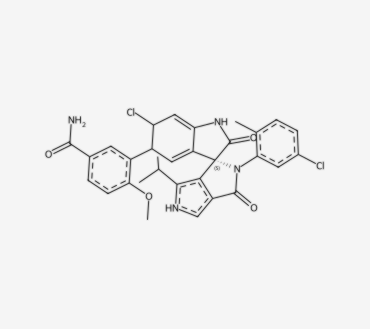 COc1ccc(C(N)=O)cc1C1C=C2C(=CC1Cl)NC(=O)[C@@]21c2c(c[nH]c2C(C)C)C(=O)N1c1cc(Cl)ccc1C